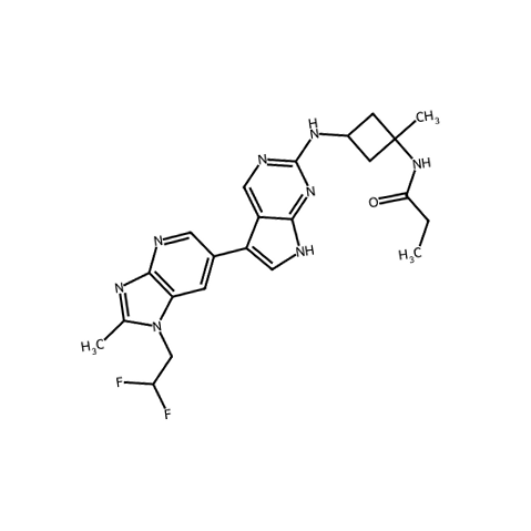 CCC(=O)NC1(C)CC(Nc2ncc3c(-c4cnc5nc(C)n(CC(F)F)c5c4)c[nH]c3n2)C1